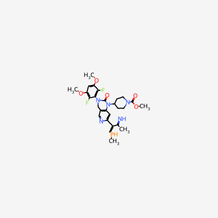 COC(=O)N1CCC(N2C(=O)N(c3c(F)c(OC)cc(OC)c3F)Cc3cnc(/C(=C/PC)C(C)=N)cc32)CC1